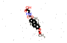 COCOC1=CC2=CC[C@@H]3[C@H](CC[C@]4(C)[C@@H](OC(=O)NCCC(=O)O)CC[C@@H]34)[C@H]2C=C1